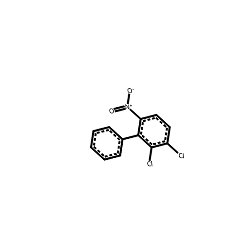 O=[N+]([O-])c1ccc(Cl)c(Cl)c1-c1ccccc1